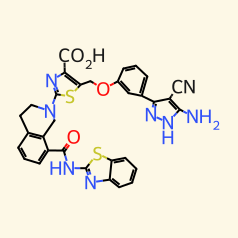 N#Cc1c(-c2cccc(OCc3sc(N4CCc5cccc(C(=O)Nc6nc7ccccc7s6)c5C4)nc3C(=O)O)c2)n[nH]c1N